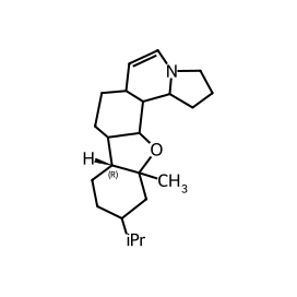 CC(C)C1CC[C@@H]2C3CCC4C=CN5CCCC5C4C3OC2(C)C1